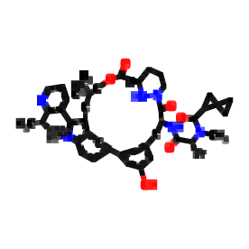 CCn1c(-c2cccnc2[C@H](C)OC)c2c3cc(ccc31)-c1cc(O)cc(c1)C[C@H](NC(=O)[C@H](C(C)C)N(C)C(=O)C1CC13CC3)C(=O)N1CCC[C@H](N1)C(=O)OCC(C)(C)C2